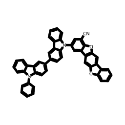 N#Cc1cc(-n2c3ccccc3c3cc(-c4ccc5c(c4)c4ccccc4n5-c4ccccc4)ccc32)cc2c1oc1cc3c(cc12)oc1ccccc13